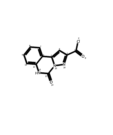 O=C(Cl)c1cc2c3ccccc3[nH]c(=O)n2n1